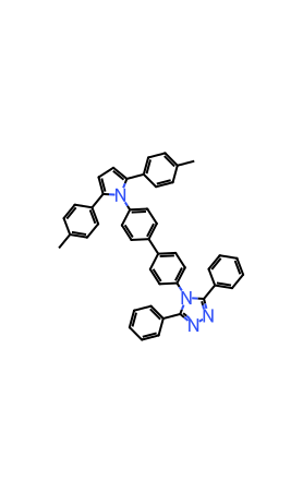 Cc1ccc(-c2ccc(-c3ccc(C)cc3)n2-c2ccc(-c3ccc(-n4c(-c5ccccc5)nnc4-c4ccccc4)cc3)cc2)cc1